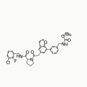 CC(C)(C)OC(=O)NCc1cccc(-c2cc(CC(=O)N3CCCC3C(=O)NCc3cccc(Cl)c3F)cc3ccoc23)c1